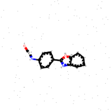 O=C=Nc1ccc(-c2nc3ccccc3o2)cc1